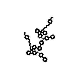 C=Cc1ccc(CCCCCCC2(c3ccccc3)c3ccccc3-c3ccc(N(c4ccc(-c5ccccc5)cc4)c4ccc(-c5ccc(N(c6ccc(-c7ccccc7)cc6)c6ccc7c(c6)C(CCCCCCc6ccc(CC)cc6)(c6ccccc6)c6ccccc6-7)cc5)cc4)cc32)cc1